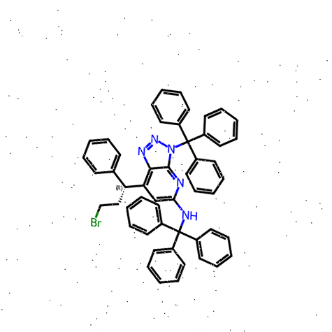 BrCC[C@H](c1ccccc1)c1cc(NC(c2ccccc2)(c2ccccc2)c2ccccc2)nc2c1nnn2C(c1ccccc1)(c1ccccc1)c1ccccc1